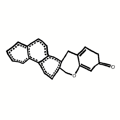 O=C1C=C2Oc3ccc4c(ccc5ccccc54)c3CC2=CC1